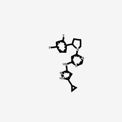 Fc1ccc(C2CCCN2c2cc(Nc3cc(C4CC4)[nH]n3)ncn2)c(F)c1